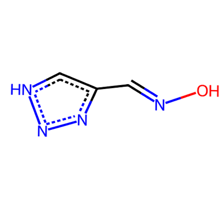 ON=Cc1c[nH]nn1